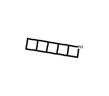 C1CC2C1C1C2C2C3PCC3C12